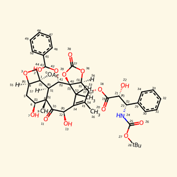 CC(=O)O[C@@]12CO[C@@H]1C[C@H](O)[C@@]1(C)C(=O)[C@H](O)C3=C(C)[C@@H](OC(=O)[C@H](O)[C@@H](NC(=O)OC(C)(C)C)c4ccccc4)[C@@H]4OC(=O)O[C@]4([C@@H](OC(O)c4ccccc4)[C@H]21)C3(C)C